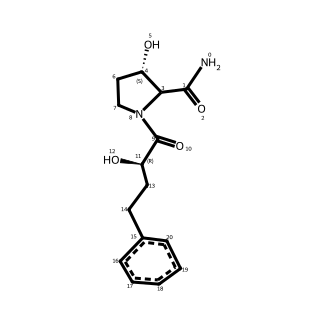 NC(=O)C1[C@@H](O)CCN1C(=O)[C@H](O)[CH]Cc1ccccc1